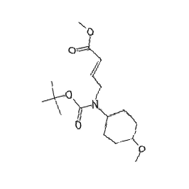 COC(=O)C=CCN(C(=O)OC(C)(C)C)C1CCC(OC)CC1